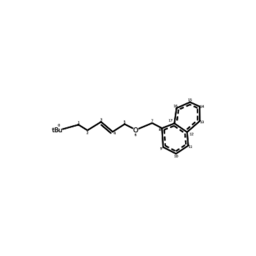 CC(C)(C)CCC=CCOCc1cccc2ccccc12